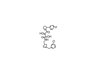 O=C(NCC1CC(Cc2cccc(Cl)c2)=CS1)[C@H](O)[C@@H](O)C(=O)N1CCCC1c1ccc(F)cc1